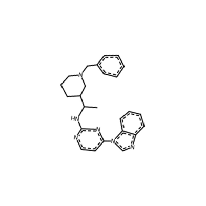 CC(Nc1nccc(-n2cnc3ccccc32)n1)C1CCCN(Cc2ccccc2)C1